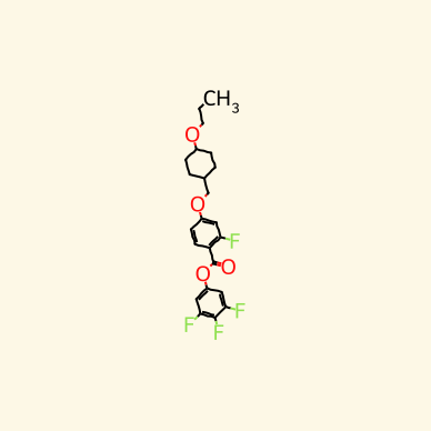 CCCOC1CCC(COc2ccc(C(=O)Oc3cc(F)c(F)c(F)c3)c(F)c2)CC1